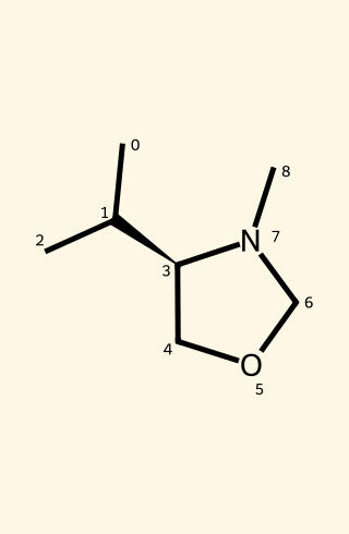 CC(C)[C@@H]1COCN1C